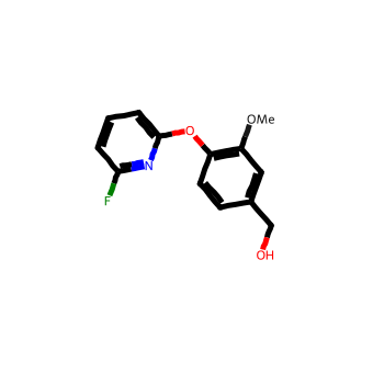 COc1cc(CO)ccc1Oc1cccc(F)n1